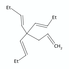 C=CCC(C=CCC)(C=CCC)C=CCC